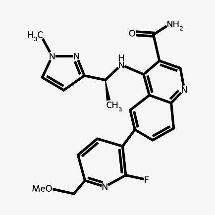 COCc1ccc(-c2ccc3ncc(C(N)=O)c(N[C@@H](C)c4ccn(C)n4)c3c2)c(F)n1